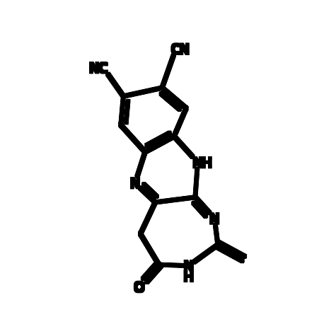 C=C1N=C2Nc3cc(C#N)c(C#N)cc3N=C2CC(=O)N1